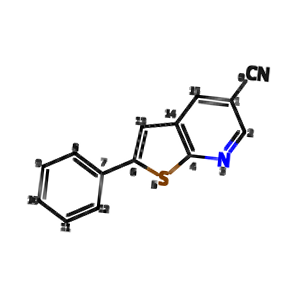 N#Cc1cnc2sc(-c3ccccc3)cc2c1